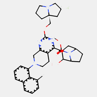 CCc1cccc2cccc(N3CCc4c(nc(OC[C@@]56CCCN5C[C@H](F)C6)nc4C4CC5CCC(C4O)N5C(=O)OC(C)(C)C)C3)c12